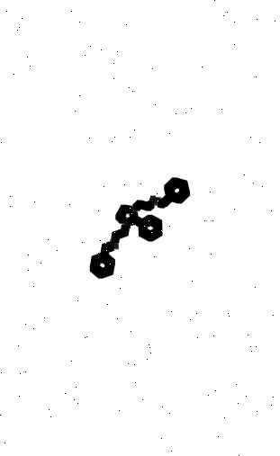 C(=NCCN1CCN(CC[As]=Cc2ccccc2)C1c1ccccc1)c1ccccc1